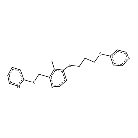 Cc1c(SCCCSc2ccncc2)ccnc1CSc1ccccn1